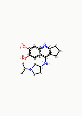 CC(C)N1CC[C@H](Nc2c3c(nc4cc(O)c(O)cc24)CCC3)C1